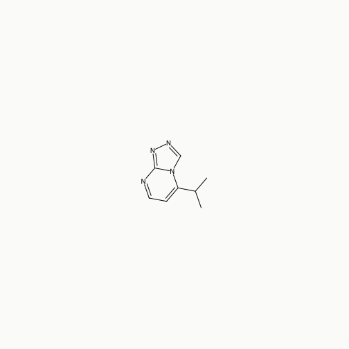 CC(C)c1ccnc2nncn12